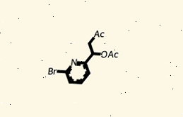 CC(=O)CC(OC(C)=O)c1cccc(Br)n1